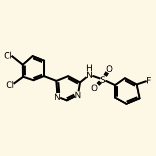 O=S(=O)(Nc1cc(-c2ccc(Cl)c(Cl)c2)ncn1)c1cccc(F)c1